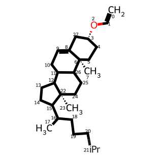 C=CO[C@@H]1CC[C@]2(C)C(=CCC3C4CCC(C(C)CCCC(C)C)[C@]4(C)CCC32)C1